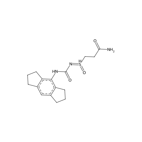 NC(=O)CC/[SH](=O)=N/C(=O)Nc1c2c(cc3c1CCC3)CCC2